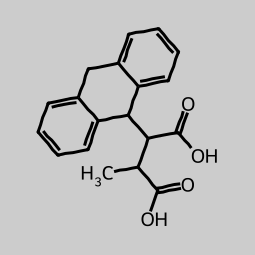 CC(C(=O)O)C(C(=O)O)C1c2ccccc2Cc2ccccc21